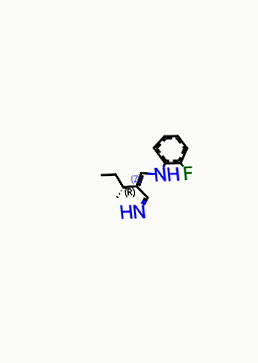 CC[C@@H](C)/C(C=N)=C/Nc1ccccc1F